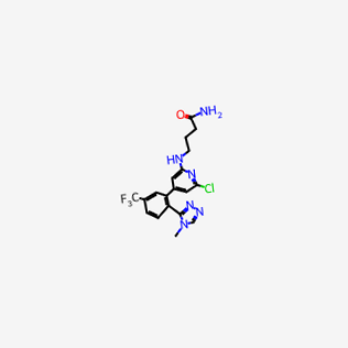 Cn1cnnc1-c1ccc(C(F)(F)F)cc1-c1cc(Cl)nc(NCCCC(N)=O)c1